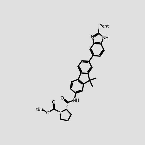 CCC[C@H](C)c1nc2cc(-c3ccc4c(c3)C(C)(C)c3cc(NC(=O)[C@@H]5CCCN5C(=O)OC(C)(C)C)ccc3-4)ccc2[nH]1